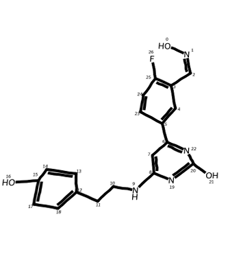 O/N=C\c1cc(-c2cc(NCCc3ccc(O)cc3)nc(O)n2)ccc1F